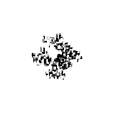 COc1c(C(C)(C)C)cc2c(c1-c1ccc(C(C)(C)C)cc1)C=C(C)[CH]2[Zr]([CH3])([CH3])(=[SiH2])[CH]1C(C)=Cc2c1cc(C(C)(C)C)c(OC)c2-c1ccc(C(C)(C)C)cc1.Cl.Cl